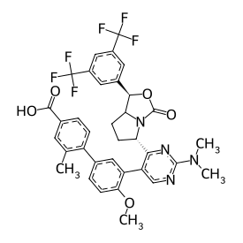 COc1ccc(-c2ccc(C(=O)O)cc2C)cc1-c1cnc(N(C)C)nc1[C@@H]1CCC2[C@@H](c3cc(C(F)(F)F)cc(C(F)(F)F)c3)OC(=O)N21